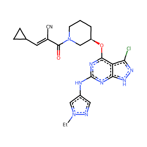 CCn1cc(Nc2nc(O[C@@H]3CCCN(C(=O)/C(C#N)=C/C4CC4)C3)c3c(Cl)n[nH]c3n2)cn1